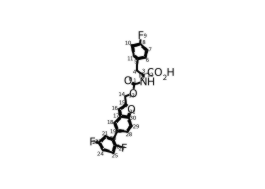 O=C(N[C@H](Cc1ccc(F)cc1)C(=O)O)OCc1cc2cc(-c3cc(F)ccc3F)ccc2o1